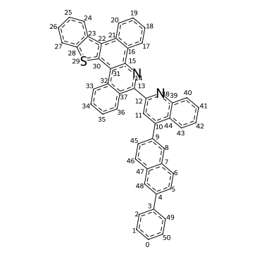 c1ccc(-c2ccc3cc(-c4cc(-c5nc6c7ccccc7c7c8ccccc8sc7c6c6ccccc56)nc5ccccc45)ccc3c2)cc1